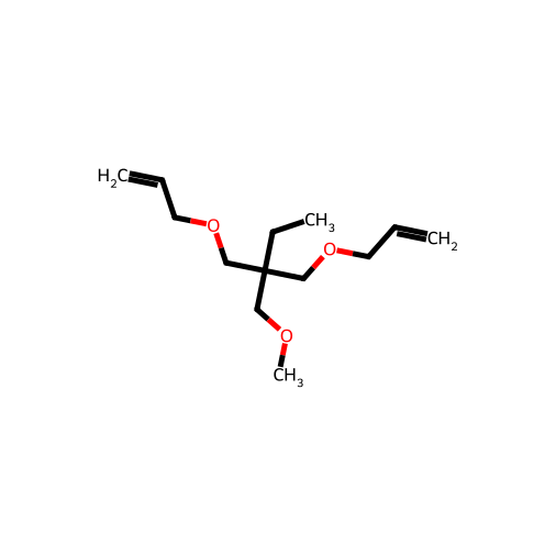 C=CCOCC(CC)(COC)COCC=C